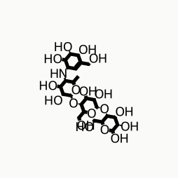 CC1O[C@@H](O[C@H]2C(CO)O[C@@H](O[C@H]3C(CO)OC(O)[C@@H](O)C3O)[C@@H](O)C2O)[C@@H](O)C(O)[C@H]1N[C@@H]1C=C(CO)[C@H](O)[C@@H](O)C1O